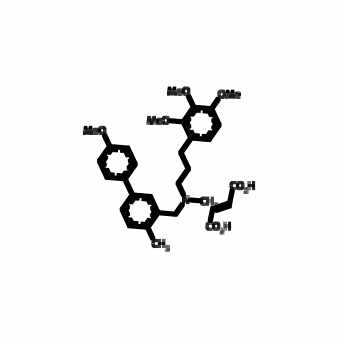 COc1ccc(-c2ccc(C)c(CN(C)CCCc3ccc(OC)c(OC)c3OC)c2)cc1.O=C(O)C=CC(=O)O